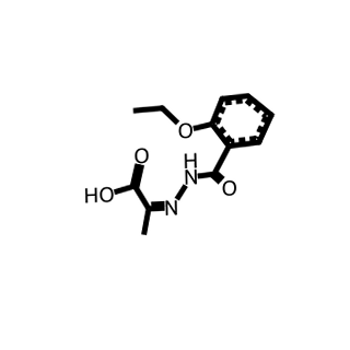 CCOc1ccccc1C(=O)NN=C(C)C(=O)O